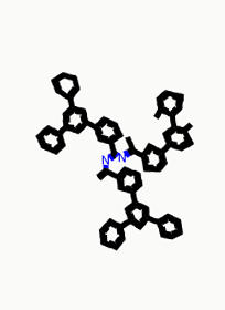 C=C(/N=C(\N=C(/C)c1cccc(-c2ccc(C)c(-c3ccccc3C)c2)c1)c1cccc(-c2cc(C3=CCCC=C3)cc(-c3ccccc3)c2)c1)c1cccc(-c2cc(-c3ccccc3)cc(-c3ccccc3)c2)c1